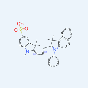 CN1/C(=C/C=C/C2=[N+](c3ccccc3)c3ccc4ccccc4c3C2(C)C)C(C)(C)c2cc(S(=O)(=O)O)ccc21